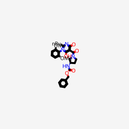 CCCCc1nc(=O)c(C(=O)N2CC[C@@H](NC(=O)OCc3ccccc3)C2)c(O)n1-c1c(OC)cccc1OC